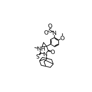 CNC(=S)N(C(=O)C1(c2ccc(OC)c(N=S(=O)=O)c2)CC1)C12CC3CC(CC(C3)C1)C2